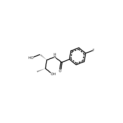 C[C@@H](O)[C@H](CO)NC(=O)c1ccc(F)cc1